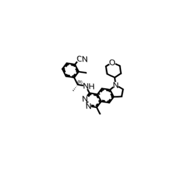 Cc1c(C#N)cccc1[C@@H](C)Nc1nnc(C)c2cc3c(cc12)N(C1CCOCC1)CC3